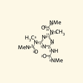 CNC(=O)Nc1nc(N(C)C(=O)NC)nc(N(C)C(=O)NC)n1